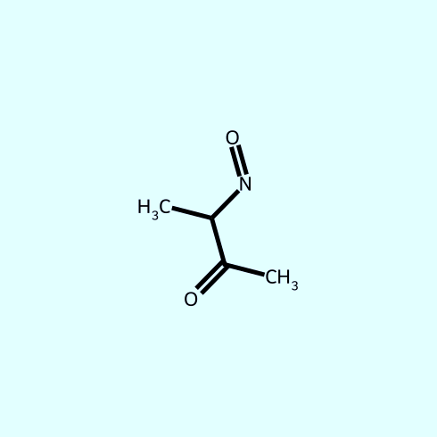 CC(=O)C(C)N=O